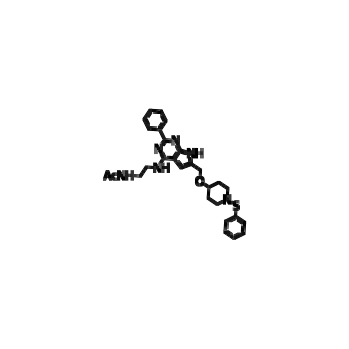 CC(=O)NCCNc1nc(-c2ccccc2)nc2[nH]c(COC3CCN(Sc4ccccc4)CC3)cc12